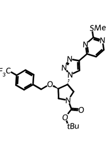 CSc1nccc(-c2cn([C@@H]3CN(C(=O)OC(C)(C)C)C[C@H]3OCc3ccc(C(F)(F)F)cc3)nn2)n1